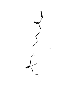 C=CC(=O)OCCCCOP(=O)(O)OC.[CaH2]